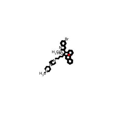 COc1nc2ccc(Br)cc2cc1C(c1ccccc1)C(O)(CCCCN1CC2CC1CN2C1CCN(C)CC1)c1ccc2ccccc2c1